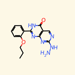 CCCOc1ccccc1-c1nc2nc(NN)ncc2c(=O)[nH]1